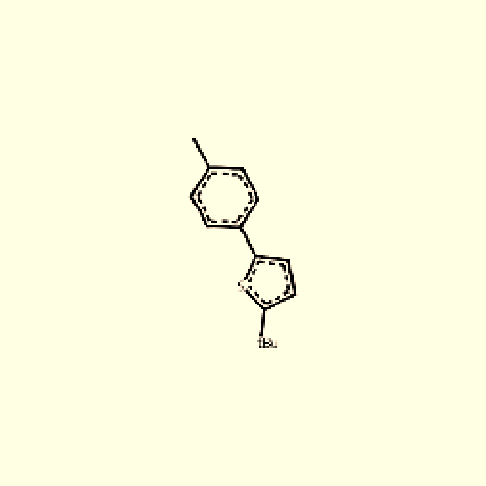 Cc1ccc(-c2ccc(C(C)(C)C)s2)cc1